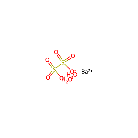 O.O.O=S(=O)([O-])S(=O)(=O)[O-].[Ba+2]